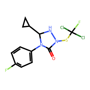 O=C1N(SC(F)(Cl)Cl)NC(C2CC2)N1c1ccc(F)cc1